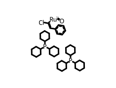 C1CCC(P(C2CCCCC2)C2CCCCC2)CC1.C1CCC(P(C2CCCCC2)C2CCCCC2)CC1.Cl[C]([Ru])=Cc1ccccc1.[C]=O